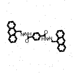 O=C(N/N=C/c1c2ccccc2cc2ccccc12)c1ccc(C(=O)N/N=C/c2c3ccccc3cc3ccccc23)cc1